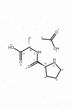 CC(=O)O.C[C@H](NC(=O)[C@@H]1CCCN1)C(=O)O